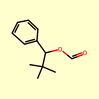 CC(C)(C)C(OC=O)c1ccccc1